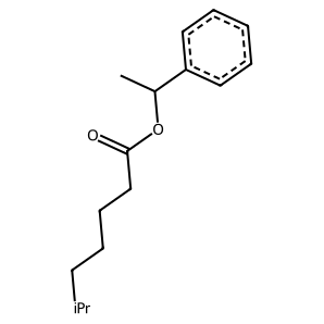 CC(C)CCCCC(=O)OC(C)c1ccccc1